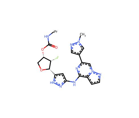 CC(C)NC(=O)O[C@H]1CO[C@@H](c2cc(Nc3nc(-c4cnn(C)c4)cn4nccc34)n[nH]2)[C@H]1F